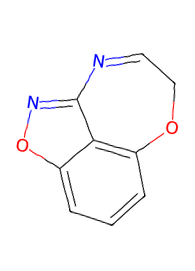 C1=Nc2noc3cccc(c23)OC1